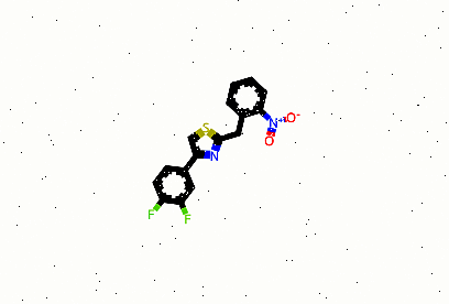 O=[N+]([O-])c1ccccc1[CH]c1nc(-c2ccc(F)c(F)c2)cs1